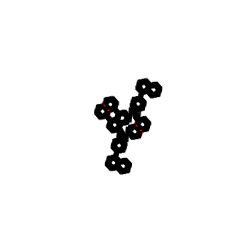 c1ccc(-c2ccc(N(c3ccccc3)c3ccc(-c4cccc5ccccc45)cc3)c3cc(N(c4ccccc4)c4ccc(-c5cccc6ccccc56)cc4)cc(-c4ccccc4)c23)cc1